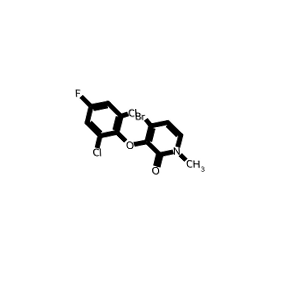 Cn1ccc(Br)c(Oc2c(Cl)cc(F)cc2Cl)c1=O